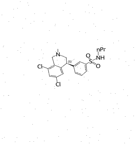 CCCNS(=O)(=O)c1cccc([C@@H]2CN(C)Cc3c(Cl)cc(Cl)cc32)c1